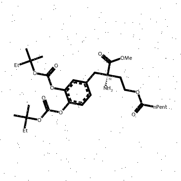 CCCCCC(=O)OCC[C@@](N)(Cc1ccc(OC(=O)OC(C)(C)CC)c(OC(=O)OC(C)(C)CC)c1)C(=O)OC